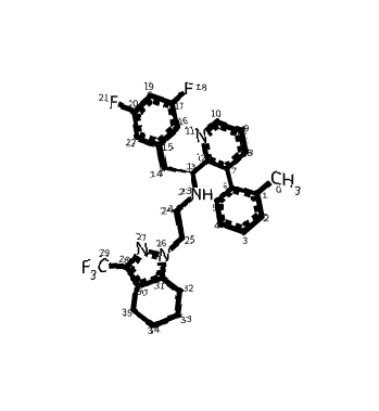 Cc1ccccc1-c1cccnc1[C@H](Cc1cc(F)cc(F)c1)NCCn1nc(C(F)(F)F)c2c1CCCC2